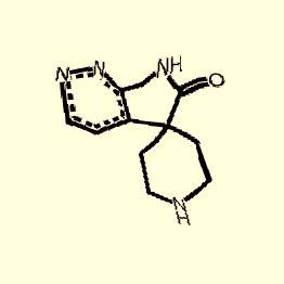 O=C1Nc2nnccc2C12CCNCC2